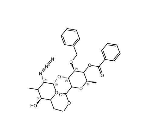 CCC1O[C@@H](O[C@H]2C(C(=O)OC)O[C@H](C)C(OC(=O)c3ccccc3)[C@@H]2OCc2ccccc2)[C@@H](N=[N+]=[N-])C(C)[C@@H]1O